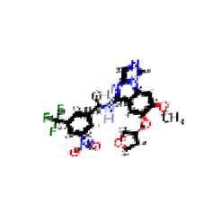 COc1cc2c(cc1O[C@H]1CCOC1)c(N[C@H](C)c1cc([N+](=O)[O-])cc(C(F)(F)F)c1)nc1cncn12